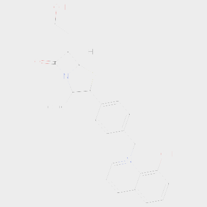 O=C([O-])C1C(c2ccc(C[n+]3cccc4cccc(O)c43)cc2)S[C@@H]2[C@@H](CCO)C(=O)N12